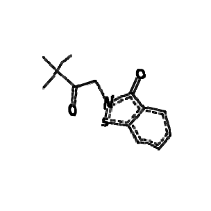 CC(C)(C)C(=O)Cn1sc2ccccc2c1=O